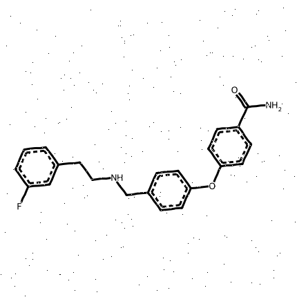 NC(=O)c1ccc(Oc2ccc(CNCCc3cccc(F)c3)cc2)cc1